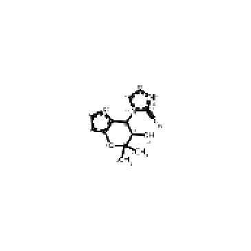 CC1(C)Oc2ccsc2C(n2cc[nH]c2=O)C1O